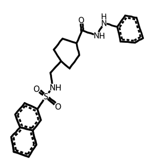 O=C(NNc1ccccc1)C1CCC(CNS(=O)(=O)c2ccc3ccccc3c2)CC1